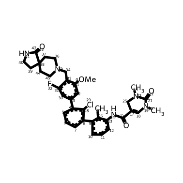 COc1cc(-c2cccc(-c3cccc(NC(=O)C4=CN(C)C(=O)N(C)C4)c3C)c2Cl)cc(F)c1CN1CCC2(CCNC2=O)CC1